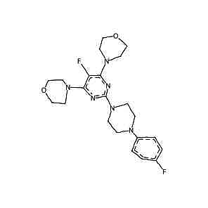 Fc1ccc(N2CCN(c3nc(N4CCOCC4)c(F)c(N4CCOCC4)n3)CC2)cc1